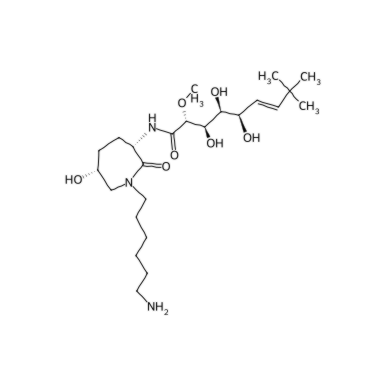 CO[C@@H](C(=O)N[C@H]1CC[C@@H](O)CN(CCCCCCN)C1=O)[C@H](O)[C@@H](O)[C@H](O)/C=C/C(C)(C)C